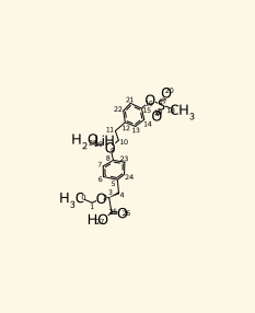 CCO[C@@H](Cc1ccc(OCCc2ccc(OS(C)(=O)=O)cc2)cc1)C(=O)O.O.[LiH]